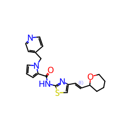 O=C(Nc1nc(/C=C/C2CCCCO2)cs1)c1cccn1Cc1ccncc1